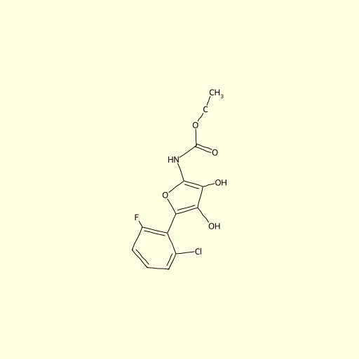 CCOC(=O)Nc1oc(-c2c(F)cccc2Cl)c(O)c1O